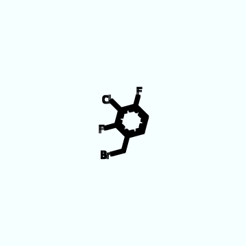 Fc1ccc(CBr)c(F)c1Cl